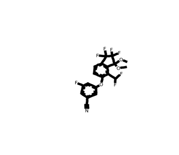 COC1(OC)c2c(ccc(Oc3cc(F)cc(C#N)c3)c2C(F)F)C(F)(F)C1(F)F